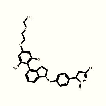 CCOCCOc1cc(C)c(-c2cccc3c2CC[C@H]3Oc2ccc(C3CC(O)=N[S+]3[O-])cc2)c(C)c1